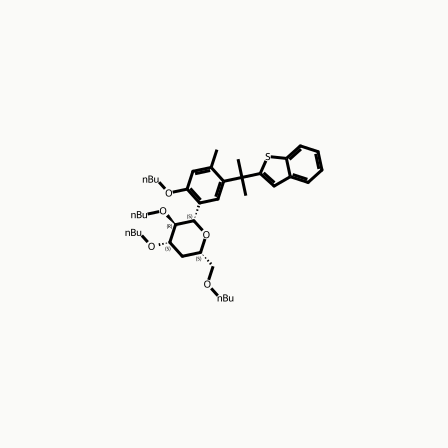 CCCCOC[C@@H]1C[C@H](OCCCC)[C@@H](OCCCC)[C@H](c2cc(C(C)(C)c3cc4ccccc4s3)c(C)cc2OCCCC)O1